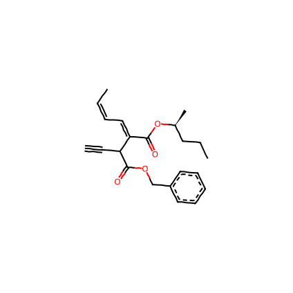 C#CC(C(=O)OCc1ccccc1)/C(=C\C=C/C)C(=O)O[C@@H](C)CCC